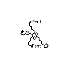 CCCCC/C=C\CCCC(CCC/C=C\CCCCC)C(CCC/C=C\CCCCC)OC(=O)CCCCN1CCCC1